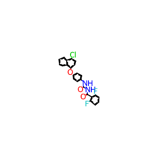 O=C(NC(=O)c1c(F)cccc1F)Nc1ccc(Oc2ccc(Cl)c3ccccc23)cc1